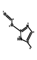 Cc1cnc(OC=O)[nH]1